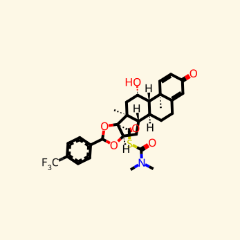 CN(C)C(=O)SC(=O)[C@@]12OC(c3ccc(C(F)(F)F)cc3)O[C@@H]1C[C@H]1[C@@H]3CCC4=CC(=O)C=C[C@]4(C)[C@H]3[C@@H](O)C[C@@]12C